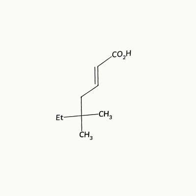 CCC(C)(C)CC=CC(=O)O